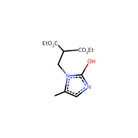 CCOC(=O)C(Cn1c(C)cnc1O)C(=O)OCC